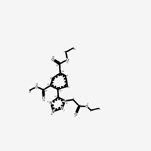 CCOC(=O)Cn1nnnc1-c1ccc(C(=O)OCC)cc1C(=O)OC